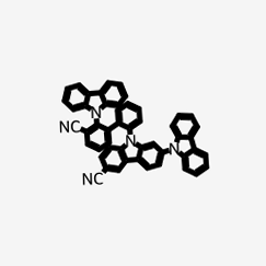 N#Cc1ccc2c(c1)c1ccc(-n3c4ccccc4c4ccccc43)cc1n2-c1ccccc1-c1cccc(C#N)c1-n1c2ccccc2c2ccccc21